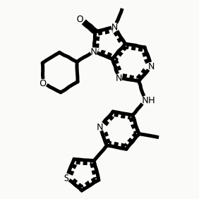 Cc1cc(-c2ccsc2)ncc1Nc1ncc2c(n1)n(C1CCOCC1)c(=O)n2C